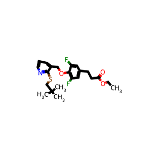 CCOC(=O)CCc1cc(F)c(OCc2cccnc2SCC(C)(C)C)c(F)c1